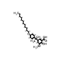 CCCCCCCCCCCCOc1ccc(C(C)(C)c2cc(OC)c(O)c(C(=O)O)c2)cc1